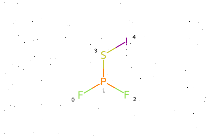 FP(F)SI